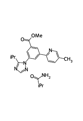 CC(C)C(N)=O.COC(=O)c1cc(-c2ccc(C)cn2)cc(-n2ncnc2C(C)C)c1